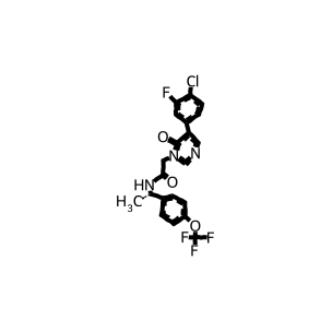 C[C@H](NC(=O)Cn1cncc(-c2ccc(Cl)c(F)c2)c1=O)c1ccc(OC(F)(F)F)cc1